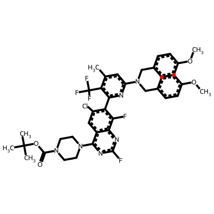 COc1ccc(CN(Cc2ccc(OC)cc2)c2cc(C)c(C(F)(F)F)c(-c3c(Cl)cc4c(N5CCN(C(=O)OC(C)(C)C)CC5)nc(F)nc4c3F)n2)cc1